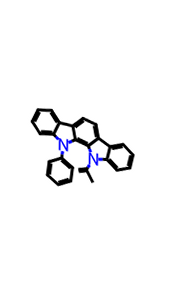 C=C(C)n1c2ccccc2c2ccc3c4ccccc4n(-c4ccccc4)c3c21